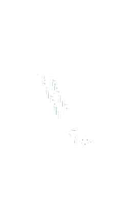 COc1ccc([C@H]2CC[C@H](C(F)(F)C(F)(F)C(F)(F)C(F)(F)C(F)(F)C(F)(F)C(F)(F)C(F)(F)C(F)(F)C(F)(F)F)CC2)cc1